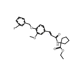 CCOC(=O)C1(NC(=O)/C=C/c2ccc(OCc3cccc(F)c3)c(OC)c2)CCCC1